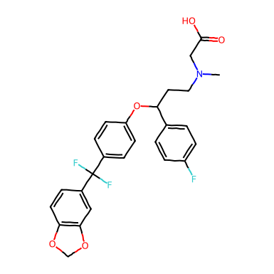 CN(CCC(Oc1ccc(C(F)(F)c2ccc3c(c2)OCO3)cc1)c1ccc(F)cc1)CC(=O)O